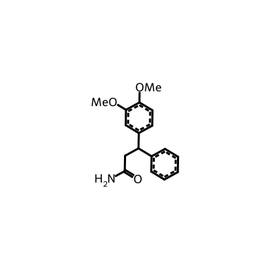 COc1ccc(C(CC(N)=O)c2ccccc2)cc1OC